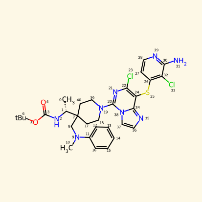 C[C@@H](NC(=O)OC(C)(C)C)C1(CN(C)c2ccccc2)CCN(c2nc(Cl)c(Sc3ccnc(N)c3Cl)c3nccn23)CC1